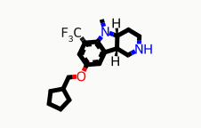 CN1c2c(cc(OCC3CCCC3)cc2C(F)(F)F)[C@H]2CNCC[C@H]21